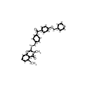 Cc1cccc2nc(SCc3ccc(C(=O)c4ccc(OCc5ccncc5)cc4)cc3)n(C)c(=O)c12